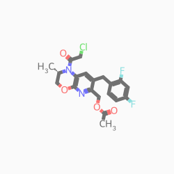 CC(=O)OCc1nc2c(cc1Cc1ccc(F)cc1F)N(C(=O)CCl)[C@@H](C)CO2